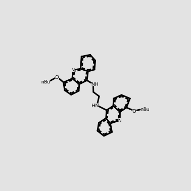 CCCCOc1cccc2c(NCCNc3c4ccccc4nc4c(OCCCC)cccc34)c3ccccc3nc12